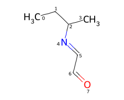 CCC(C)N=CC=O